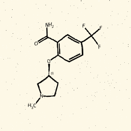 CN1CC[C@H](Oc2ccc(C(F)(F)F)cc2C(N)=O)C1